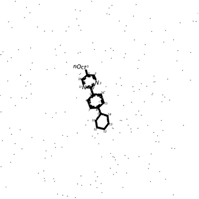 CCCCCCCCc1cnc(-c2ccc(C3CCCCC3)cc2)nc1